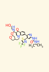 CC(C)NC(=O)Nc1cc(-c2nc(C(F)(F)F)cs2)c(-c2ccc3c(=O)c(C(=O)NCCO)cn(CCC4CCOCC4)c3c2)cn1